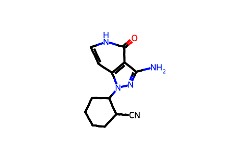 N#CC1CCCCC1n1nc(N)c2c(=O)[nH]ccc21